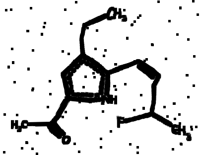 CCc1cc(C(C)=O)[nH]c1/C=C\C(C)F